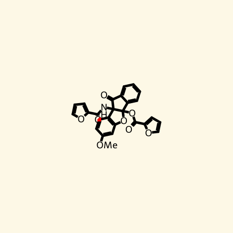 COc1ccc2c(c1)OC1(OC(=O)c3ccco3)c3ccccc3C(=O)C21NC(=O)c1ccco1